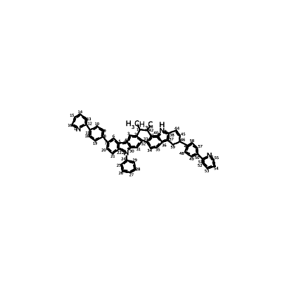 CC1c2cc3c4cc(-c5ccc(-c6ccccn6)cc5)ccc4n(-c4ccccc4)c3cc2-c2ccc3c4c([nH]c3c2C1C)C=CC(c1ccc(-c2ccccn2)cc1)C4